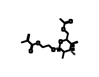 C=C(C)C(=O)OCCO[C@@H]1OC(COC(C)=O)[C@@H](C)[C@H](C)C1C